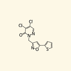 O=c1c(Cl)c(Cl)cnn1Cc1cc(-c2cccs2)on1